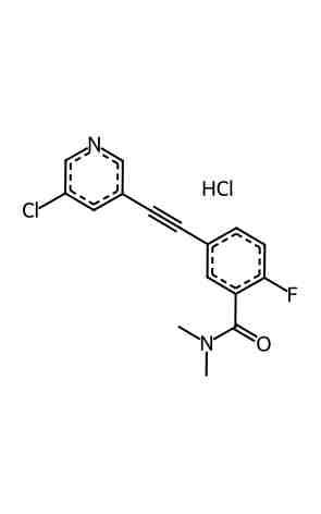 CN(C)C(=O)c1cc(C#Cc2cncc(Cl)c2)ccc1F.Cl